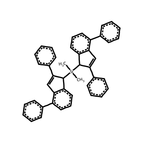 C[Si](C)(C1C(c2ccccc2)=Cc2c(-c3ccccc3)cccc21)C1C(c2ccccc2)=Cc2c(-c3ccccc3)cccc21